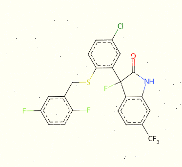 O=C1Nc2cc(C(F)(F)F)ccc2C1(F)c1cc(Cl)ccc1SCc1cc(F)ccc1F